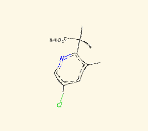 Cc1cc(Cl)cnc1C(C)(C)C(=O)O